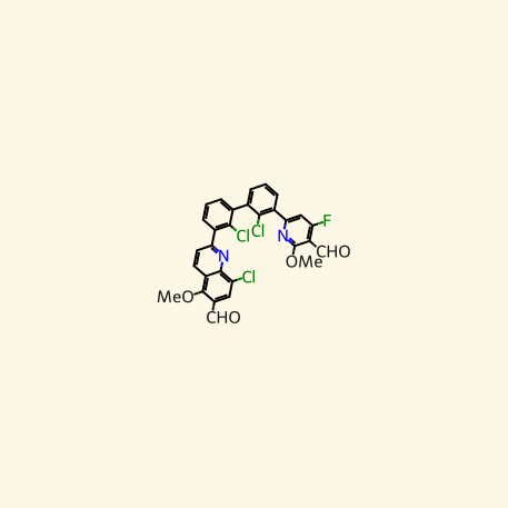 COc1nc(-c2cccc(-c3cccc(-c4ccc5c(OC)c(C=O)cc(Cl)c5n4)c3Cl)c2Cl)cc(F)c1C=O